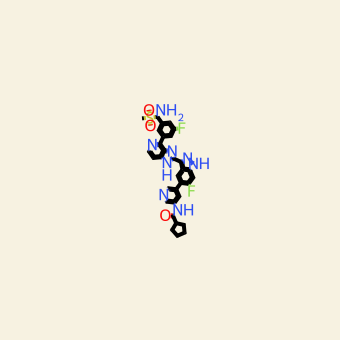 CS(=O)(=O)C(N)c1cc(F)cc(-c2nccc3[nH]c(-c4n[nH]c5cc(F)c(-c6cncc(NC(=O)C7CCCC7)c6)cc45)nc23)c1